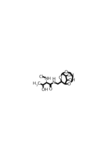 CC(O)[C@H](NCl)C(=O)NCC1OC2OCCCOC1C(O)C2O